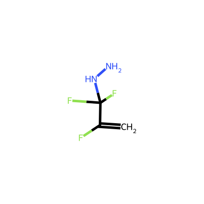 C=C(F)C(F)(F)NN